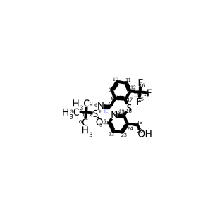 CC(C)(C)[S+]([O-])/N=C/c1cccc(C(F)(F)F)c1Sc1ncccc1CO